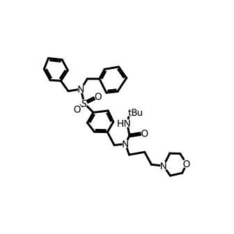 CC(C)(C)NC(=O)N(CCCN1CCOCC1)Cc1ccc(S(=O)(=O)N(Cc2ccccc2)Cc2ccccc2)cc1